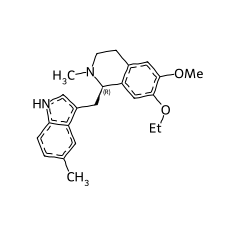 CCOc1cc2c(cc1OC)CCN(C)[C@@H]2Cc1c[nH]c2ccc(C)cc12